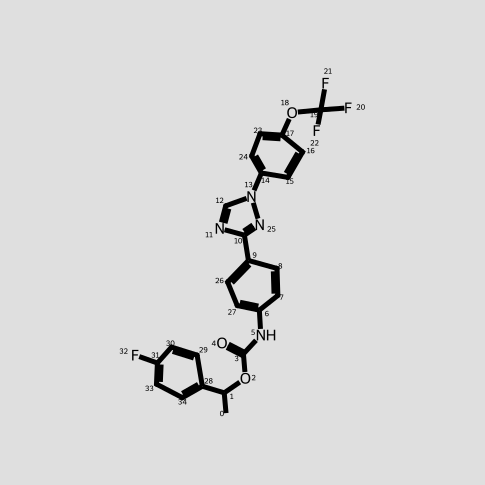 CC(OC(=O)Nc1ccc(-c2ncn(-c3ccc(OC(F)(F)F)cc3)n2)cc1)c1ccc(F)cc1